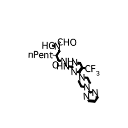 CCCCC[C@H](CN(O)C=O)C(=O)NNc1ncc(C(F)(F)F)c(N2CCN(c3ncccn3)CC2)n1